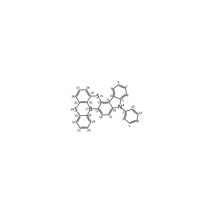 c1ccc(-n2c3ccccc3c3c4c(ccc32)B2c3ccccc3Sc3cccc(c32)S4)cc1